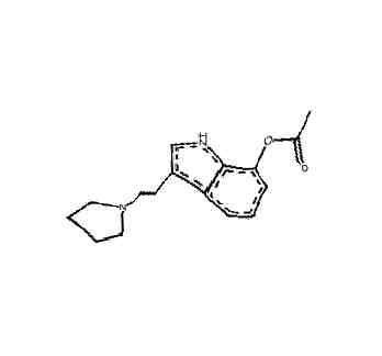 CC(=O)Oc1cccc2c(CCN3CCCC3)c[nH]c12